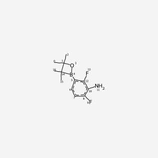 CC1(C)OB(c2ccc(F)c(N)c2F)C1(C)C